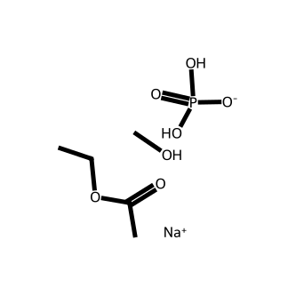 CCOC(C)=O.CO.O=P([O-])(O)O.[Na+]